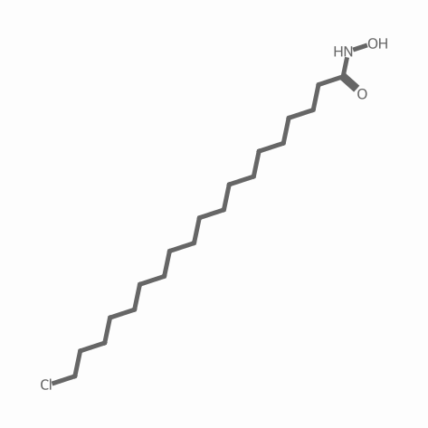 O=C(CCCCCCCCCCCCCCCCCCCl)NO